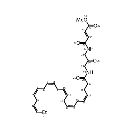 CC/C=C\C/C=C\C/C=C\C/C=C\C/C=C\C/C=C\CCC(=O)NCC(=O)CNC(=O)/C=C/C(=O)OC